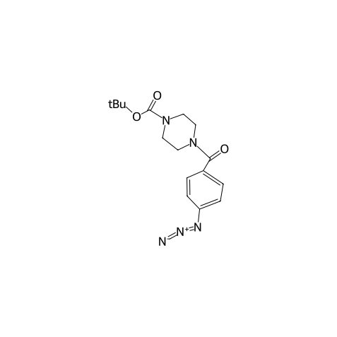 CC(C)(C)OC(=O)N1CCN(C(=O)c2ccc(N=[N+]=[N-])cc2)CC1